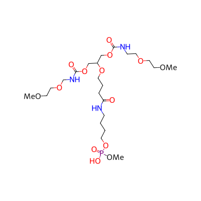 COCCOCCNC(=O)OCC(COC(=O)NCOCCOC)OCCCC(=O)NCCCCOP(=O)(O)OC